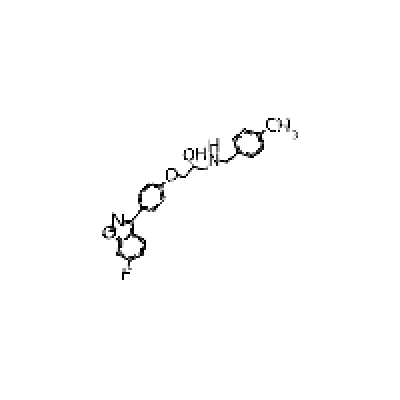 Cc1ccc(CNCC(O)COc2ccc(-c3noc4cc(F)ccc34)cc2)cc1